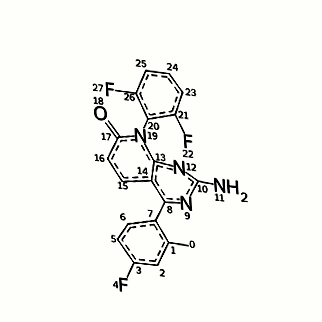 Cc1cc(F)ccc1-c1nc(N)nc2c1ccc(=O)n2-c1c(F)cccc1F